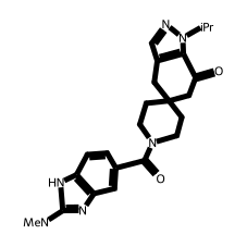 CNc1nc2cc(C(=O)N3CCC4(CC3)CC(=O)c3c(cnn3C(C)C)C4)ccc2[nH]1